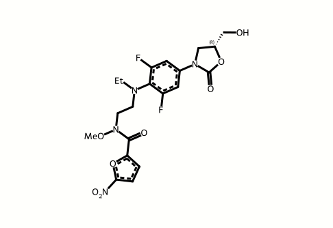 CCN(CCN(OC)C(=O)c1ccc([N+](=O)[O-])o1)c1c(F)cc(N2C[C@H](CO)OC2=O)cc1F